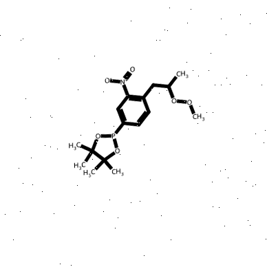 COOC(C)Cc1ccc(P2OC(C)(C)C(C)(C)O2)cc1[N+](=O)[O-]